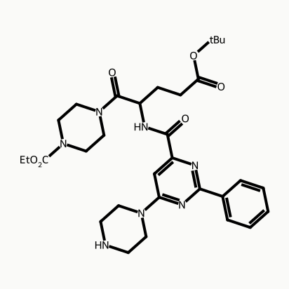 CCOC(=O)N1CCN(C(=O)C(CCC(=O)OC(C)(C)C)NC(=O)c2cc(N3CCNCC3)nc(-c3ccccc3)n2)CC1